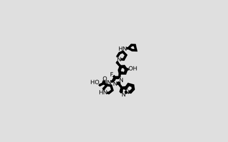 O=C(CO)C1(Nc2nc(-c3cnn4ccccc34)nc(-c3cc(O)cc(CN4CCC(NC5CCCC5)CC4)c3)c2F)CCCNC1